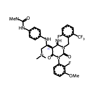 CNC(=O)Nc1ccc(N/C(CN(C)C)=C2\C(=N)N(Cc3c(F)cccc3C(F)(F)F)C(=O)N(c3cccc(OC)c3F)C2=O)cc1